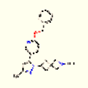 O=CN1CC2(CC(n3nc(C(F)(F)F)cc3-c3ccc(OCc4ccccc4)nc3)C2)C1